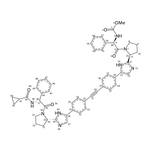 COC(=O)N[C@@H](C(=O)N1CCC[C@H]1c1ncc(-c2ccc(C#Cc3ccc(-c4cnc([C@@H]5CCCN5C(=O)[C@H](NC(=O)C5CC5)c5ccccc5)[nH]4)cc3)cc2)[nH]1)c1ccccc1